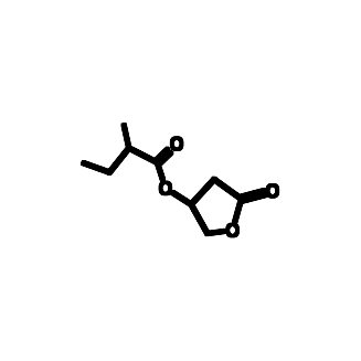 CCC(C)C(=O)OC1COC(=O)C1